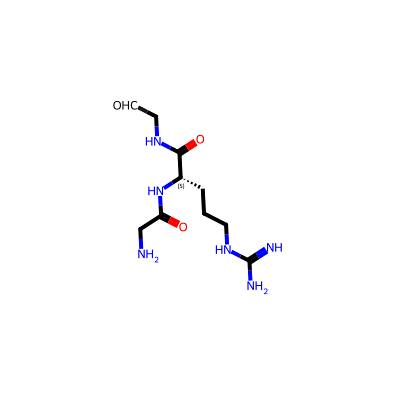 N=C(N)NCCC[C@H](NC(=O)CN)C(=O)NCC=O